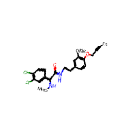 CCC#CCOc1ccc(CCNC(=O)C(NSC)c2ccc(Cl)c(Cl)c2)cc1OC